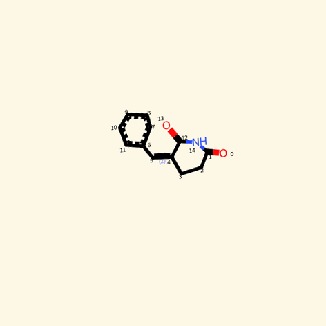 O=C1CC/C(=C/c2ccccc2)C(=O)N1